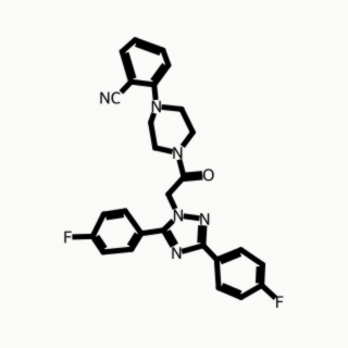 N#Cc1ccccc1N1CCN(C(=O)Cn2nc(-c3ccc(F)cc3)nc2-c2ccc(F)cc2)CC1